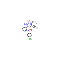 CC1=C(C(=O)Nc2ccc(Br)cc2)C(c2ccccc2)NC(=O)N1C